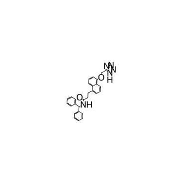 O=C(CCc1cccc2c(OCc3nnn[nH]3)cccc12)NC(c1ccccc1)c1ccccc1